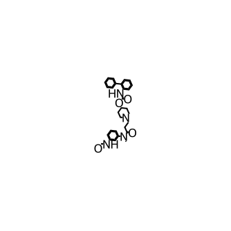 CN(C(=O)CCN1CCC(OC(=O)Nc2ccccc2-c2ccccc2)CC1)c1cccc(NC=O)c1